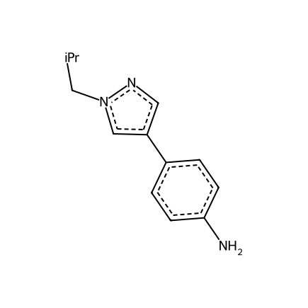 CC(C)Cn1cc(-c2ccc(N)cc2)cn1